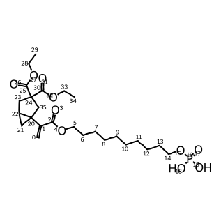 C=C(C(=O)OCCCCCCCCCCOP(=O)(O)O)C12CC1CC(C(=O)OCC)(C(=O)OCC)C2